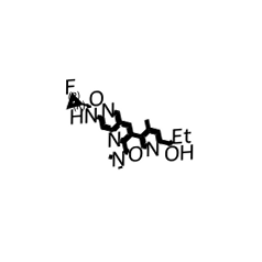 CCC(O)c1cc(C)c(-c2cc3cnc(NC(=O)[C@H]4C[C@H]4F)cc3nc2C(=O)N(C)C)cn1